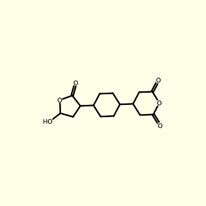 O=C1CC(C2CCC(C3CC(O)OC3=O)CC2)CC(=O)O1